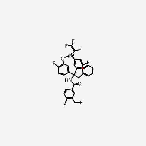 CC(C)Oc1cc([C@@](Cc2ccccc2)(NC(=O)c2ccc(F)c(CF)c2)c2cc(F)cc(OC(F)=C(F)F)c2)ccc1F